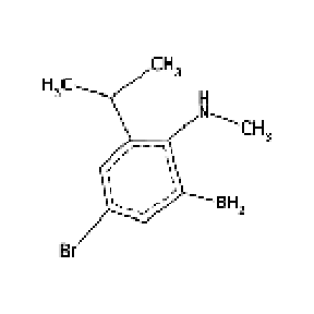 Bc1cc(Br)cc(C(C)C)c1NC